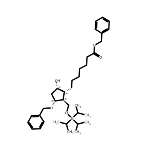 CC(C)[Si](OC[C@@H]1[C@@H](CCCCCCC(=O)OCc2ccccc2)[C@@H](O)C[C@H]1OCc1ccccc1)(C(C)C)C(C)C